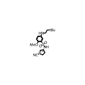 COc1ccc(NCCC(C)(C)C)cc1S(=O)(=O)N[C@@H]1CCN(C#N)C1